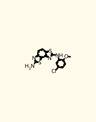 COc1ccc(Cl)cc1Nc1nc2c(ccc3nc(N)sc32)s1